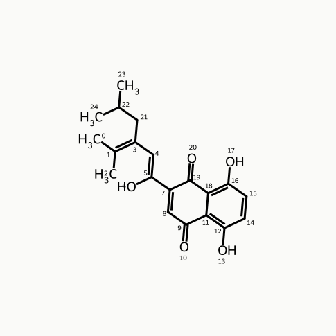 CC(C)=C(C=C(O)C1=CC(=O)c2c(O)ccc(O)c2C1=O)CC(C)C